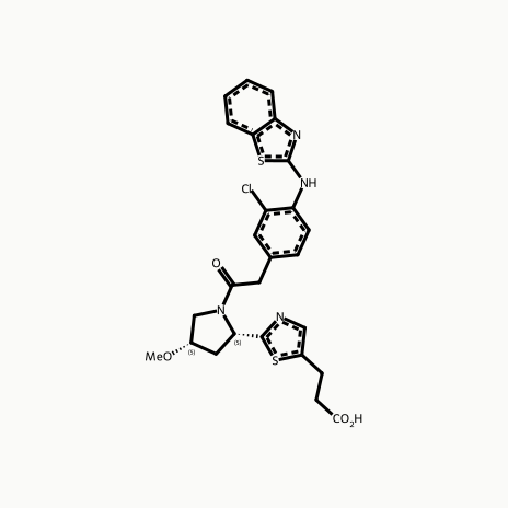 CO[C@H]1C[C@@H](c2ncc(CCC(=O)O)s2)N(C(=O)Cc2ccc(Nc3nc4ccccc4s3)c(Cl)c2)C1